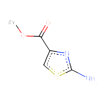 CC(C)OC(=O)c1csc(N)n1